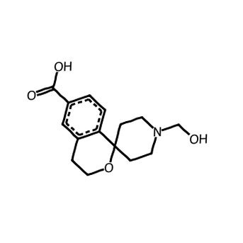 O=C(O)c1ccc2c(c1)CCOC21CCN(CO)CC1